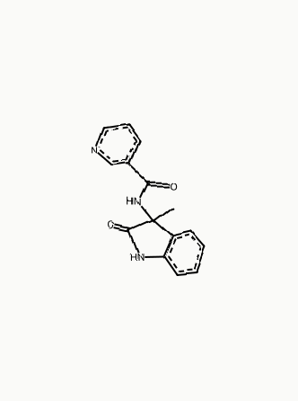 CC1(NC(=O)c2cccnc2)C(=O)Nc2ccccc21